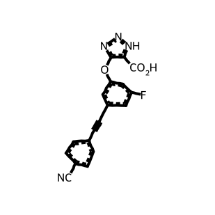 N#Cc1ccc(C#Cc2cc(F)cc(Oc3nn[nH]c3C(=O)O)c2)cc1